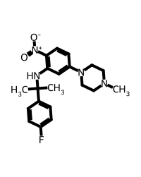 CN1CCN(c2ccc([N+](=O)[O-])c(NC(C)(C)c3ccc(F)cc3)c2)CC1